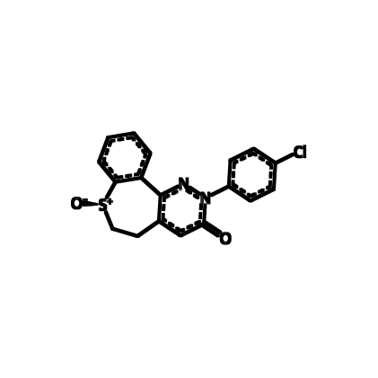 O=c1cc2c(nn1-c1ccc(Cl)cc1)-c1ccccc1[S@+]([O-])CC2